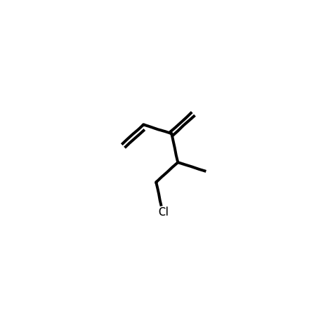 C=CC(=C)C(C)CCl